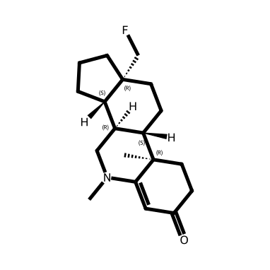 CN1C[C@H]2[C@@H]3CCC[C@@]3(CF)CC[C@@H]2[C@@]2(C)CCC(=O)C=C12